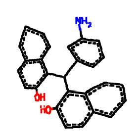 Nc1cccc(C(c2c(O)ccc3ccccc23)c2c(O)ccc3ccccc23)c1